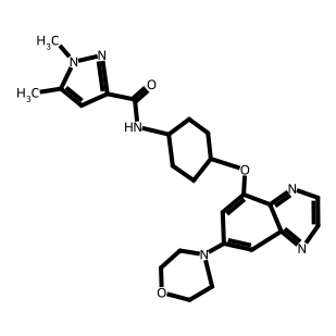 Cc1cc(C(=O)NC2CCC(Oc3cc(N4CCOCC4)cc4nccnc34)CC2)nn1C